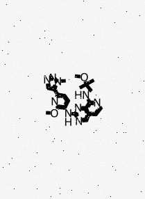 COc1nc(-c2cnnn2C)ccc1Nc1ncc2ccnc(NCC(C)(C)OC)c2n1